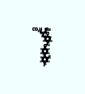 CC(C)(C)C(=O)N(CC(=O)O)Cc1cccc(COc2ccc(-c3ccc(F)cc3F)cc2)c1